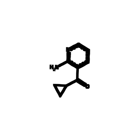 Nc1ncccc1C(=O)C1CC1